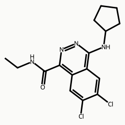 CCNC(=O)c1nnc(NC2CCCC2)c2cc(Cl)c(Cl)cc12